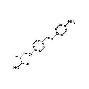 CC(COc1ccc(C=Cc2ccc(N)cc2)cc1)C(O)F